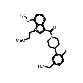 COCCn1cc(C(=O)N2CCC(c3cc(CN)ccc3F)CC2)c2cccc(OC(F)(F)F)c21